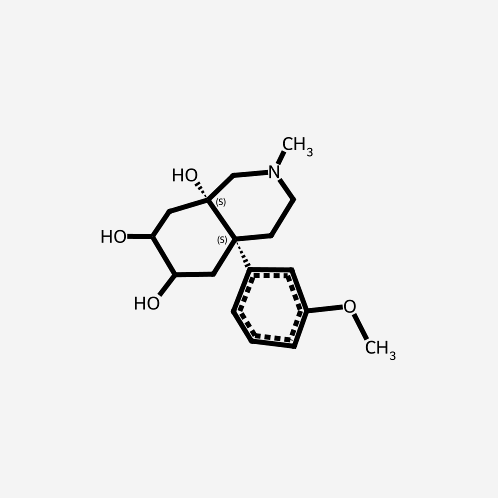 COc1cccc([C@@]23CCN(C)C[C@]2(O)CC(O)C(O)C3)c1